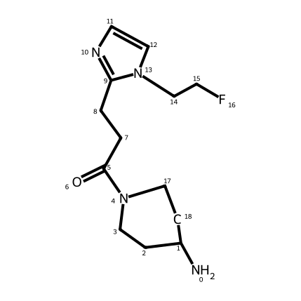 NC1CCN(C(=O)CCc2nccn2CCF)CC1